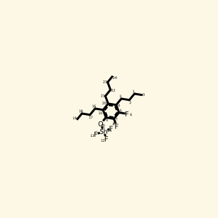 CCCCc1c(F)c(F)c([O][Sn]([F])([F])[F])c(CCCC)c1CCCC